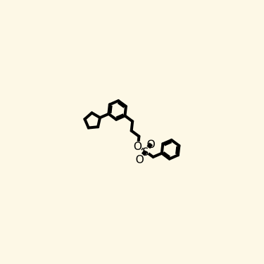 O=S(=O)(Cc1ccccc1)OCCCc1cccc(C2CCCC2)c1